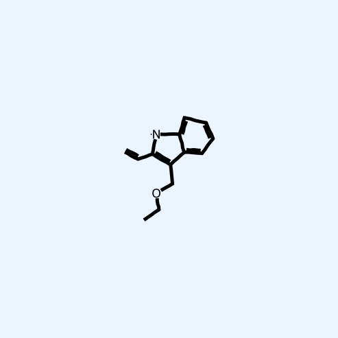 C=CC1=C(COCC)c2ccccc2[N]1